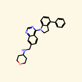 c1ccc(-c2cccc3c2CCN3c2ncnc3cc(CNC4CCOCC4)ccc23)cc1